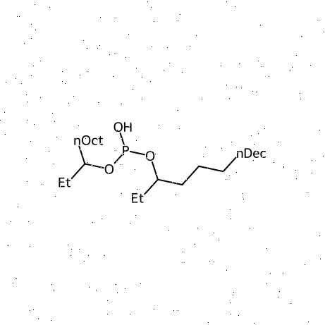 CCCCCCCCCCCCCC(CC)OP(O)OC(CC)CCCCCCCC